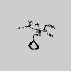 CCCCCC(=O)O[C@H](CC=O)[C@H](OCc1ccccc1)[C@H](O)CO